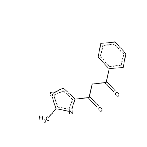 Cc1nc(C(=O)CC(=O)c2ccccc2)cs1